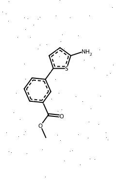 COC(=O)c1cccc(-c2ccc(N)s2)c1